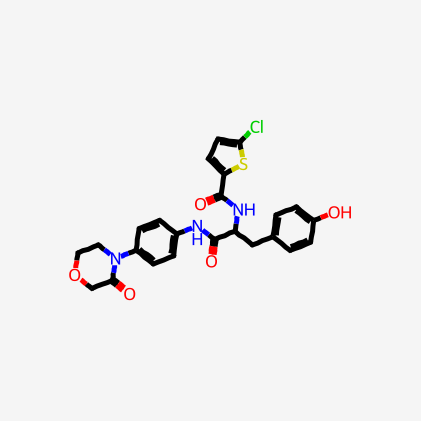 O=C(NC(Cc1ccc(O)cc1)C(=O)Nc1ccc(N2CCOCC2=O)cc1)c1ccc(Cl)s1